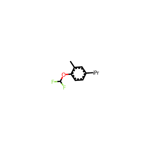 Cc1cc(C(C)C)ccc1OC(F)F